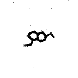 COc1ccc2c(C=N)nccc2c1